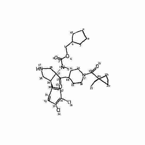 CN(C(=O)OCC1CCCC1)[C@@]1(C(=O)C2CCN(C(=O)C3(C)CC3)CC2)CNC[C@@H]1c1ccc(Cl)c(Cl)c1